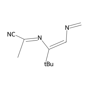 C=N/C=C(\N=C(/C)C#N)C(C)(C)C